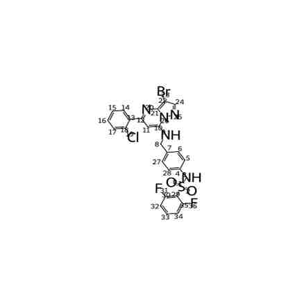 O=S(=O)(Nc1ccc(CNc2cc(-c3ccccc3Cl)nc3c(Br)cnn23)cc1)c1c(F)cccc1F